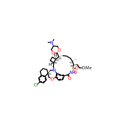 COCC[C@@H]1[C@@H](C)CCC[C@@H]([C@H]2OC[C@H](N(C)C)CO2)[C@@H]2CC[C@H]2CN2C[C@@]3(CCCc4cc(Cl)ccc43)COc3ccc(cc32)C(=O)NS1(=O)=O